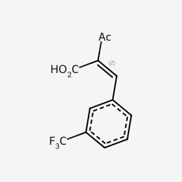 CC(=O)/C(=C/c1cccc(C(F)(F)F)c1)C(=O)O